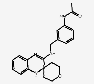 CC(=O)Nc1cccc(CNC2=Nc3ccccc3NC23CCOCC3)c1